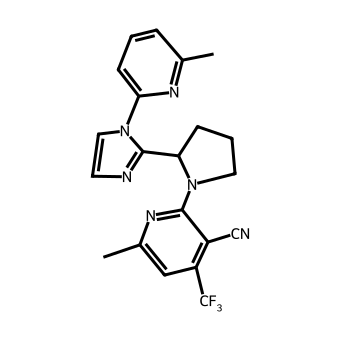 Cc1cccc(-n2ccnc2C2CCCN2c2nc(C)cc(C(F)(F)F)c2C#N)n1